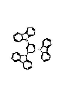 C1=CC2c3ccccc3N(C3=CC(n4c5ccccc5c5ccccc54)CC(n4c5ccccc5c5ccccc54)=C3)C2C=C1